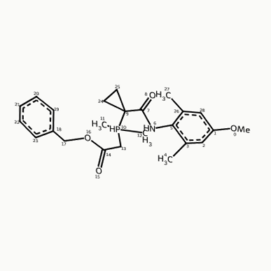 COc1cc(C)c(NC(=O)C2([PH](C)(C)CC(=O)OCc3ccccc3)CC2)c(C)c1